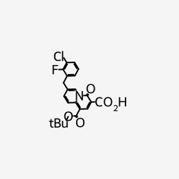 CC(C)(C)OC(=O)c1cc(C(=O)O)c(=O)n2cc(Cc3cccc(Cl)c3F)ccc12